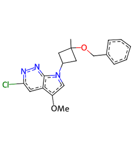 COc1cn(C2CC(C)(OCc3ccccc3)C2)c2nnc(Cl)cc12